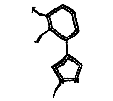 [CH2]c1c(F)cccc1-c1cnn(C)c1